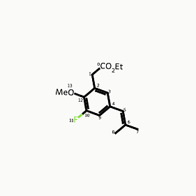 CCOC(=O)Cc1cc(C=C(C)C)cc(F)c1OC